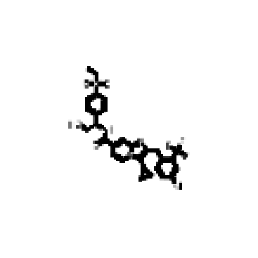 CCS(=O)(=O)c1ccc([C@H](CO)NC(=O)c2ccn3c(C4CC4)c(Cc4ccc(Cl)cc4C(F)(F)F)nc3c2)cc1